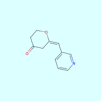 O=C1CCOC(=Cc2cccnc2)C1